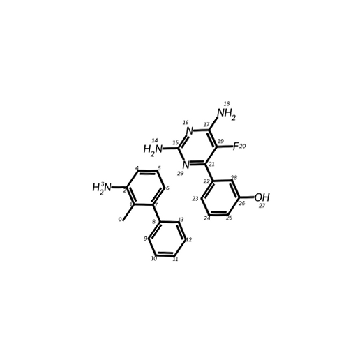 Cc1c(N)cccc1-c1ccccc1.Nc1nc(N)c(F)c(-c2cccc(O)c2)n1